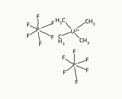 F[P-](F)(F)(F)(F)F.F[P-](F)(F)(F)(F)F.[CH3][U+2]([CH3])([CH3])[CH3]